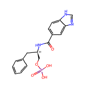 O=C(N[C@@H](COP(=O)(O)O)Cc1ccccc1)c1ccc2[nH]cnc2c1